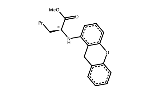 COC(=O)[C@H](CC(C)C)Nc1cccc2c1Cc1ccccc1O2